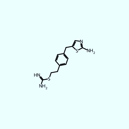 N=C(N)SCCc1ccc(Cc2cnc(N)s2)cc1